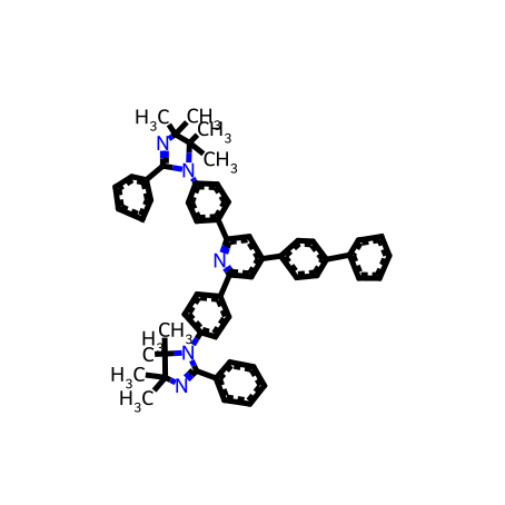 CC1(C)N=C(c2ccccc2)N(c2ccc(-c3cc(-c4ccc(-c5ccccc5)cc4)cc(-c4ccc(N5C(c6ccccc6)=NC(C)(C)C5(C)C)cc4)n3)cc2)C1(C)C